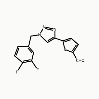 O=Cc1ccc(-c2cn(Cc3ccc(F)c(F)c3)nn2)s1